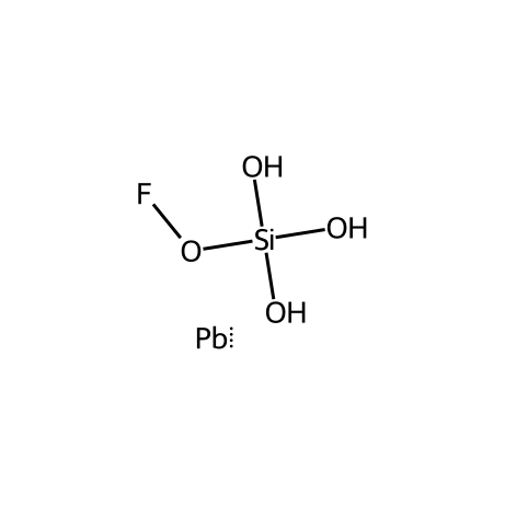 O[Si](O)(O)OF.[Pb]